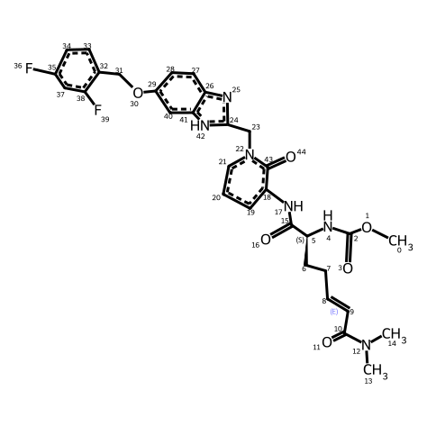 COC(=O)N[C@@H](CC/C=C/C(=O)N(C)C)C(=O)Nc1cccn(Cc2nc3ccc(OCc4ccc(F)cc4F)cc3[nH]2)c1=O